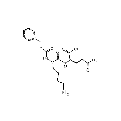 NCCCC[C@H](NC(=O)OCc1ccccc1)C(=O)N[C@H](CCC(=O)O)C(=O)O